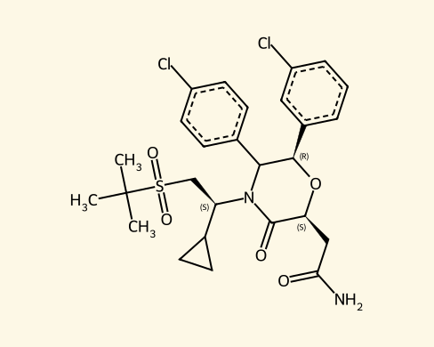 CC(C)(C)S(=O)(=O)C[C@H](C1CC1)N1C(=O)[C@H](CC(N)=O)O[C@H](c2cccc(Cl)c2)C1c1ccc(Cl)cc1